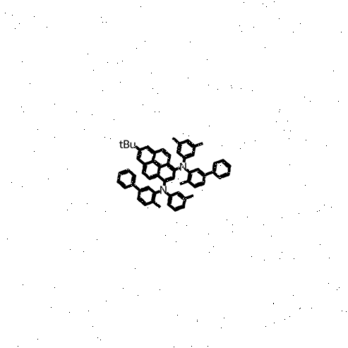 Cc1cccc(N(c2cc(-c3ccccc3)ccc2C)c2cc(N(c3cc(C)cc(C)c3)c3cc(-c4ccccc4)ccc3C)c3ccc4cc(C(C)(C)C)cc5ccc2c3c54)c1